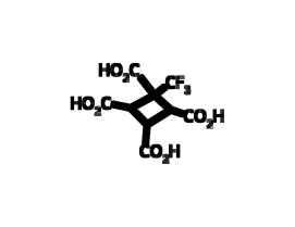 O=C(O)C1C(C(=O)O)C(C(=O)O)(C(F)(F)F)C1C(=O)O